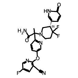 CC(C(N)=O)(c1ccc(Oc2ncc(F)cc2C#N)cn1)N1CCC(F)(F)[C@@H](c2ccc(=O)[nH]c2)C1